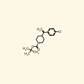 C=C(c1ccc(Cl)cc1)C1CCN(C(=O)OC(C)(C)C)CC1